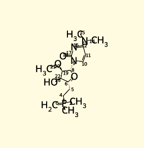 C=P(C)(C)CC[C@H]1O[C@@H](n2ccc(N(C)C)nc2=O)[C@H](OC)[C@@H]1O